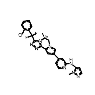 C[C@H]1Cn2cc(-c3ccnc(Nc4ccnn4C)c3)cc2-c2nnc(C(F)(F)c3ccccc3Cl)n21